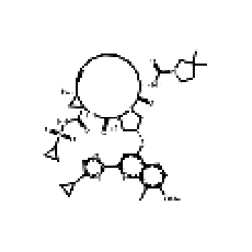 COc1ccc2c(O[C@@H]3C[C@H]4C(=O)N[C@]5(C(=O)NS(=O)(=O)C6CC6)C[C@H]5C=CCCCCC[C@H](NC(=O)N5CCC(C)(C)C5)C(=O)N4C3)cc(-c3nc(C4CC4)cs3)nc2c1C